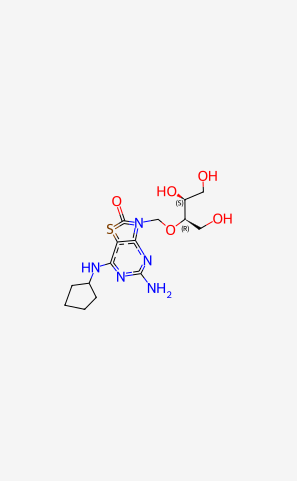 Nc1nc(NC2CCCC2)c2sc(=O)n(CO[C@H](CO)[C@@H](O)CO)c2n1